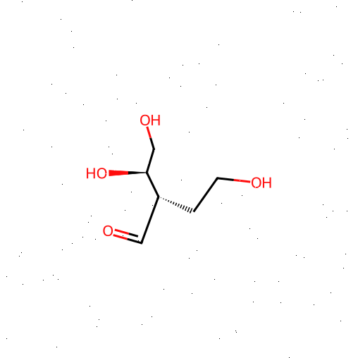 O=C[C@@H](CCO)[C@@H](O)CO